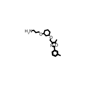 Cc1cccc(-c2nc(COC3CCCC(OCCCN)C3)c(C)o2)c1